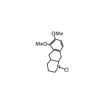 COc1ccc2c(c1OC)CC1CCCN(Cl)C1C2